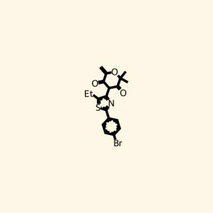 C=C1OC(C)(C)C(=O)C(c2nc(-c3ccc(Br)cc3)sc2CC)C1=O